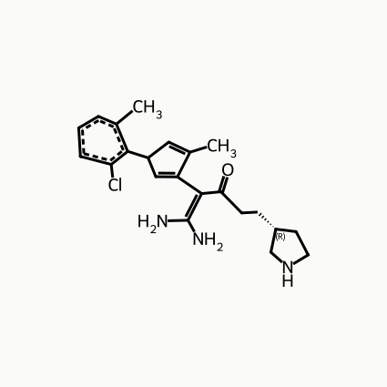 CC1=CC(c2c(C)cccc2Cl)C=C1C(C(=O)CC[C@@H]1CCNC1)=C(N)N